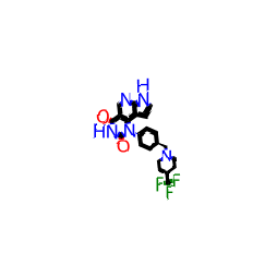 O=c1[nH]c(=O)n([C@H]2CC[C@H](CN3CCC(C(F)(F)F)CC3)CC2)c2c1cnc1[nH]ccc12